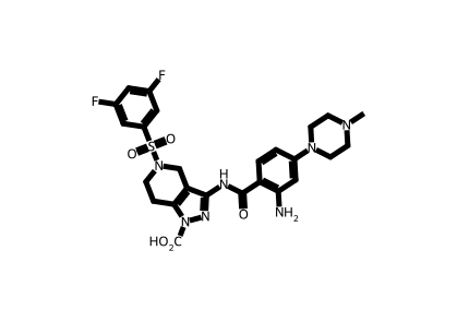 CN1CCN(c2ccc(C(=O)Nc3nn(C(=O)O)c4c3CN(S(=O)(=O)c3cc(F)cc(F)c3)CC4)c(N)c2)CC1